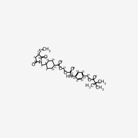 CSC1CC(=O)N(CC2CCC(C(=O)OCOC(=O)Nc3ccc(COC(=O)C(C)(C)C)cc3)CC2)C1=O